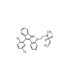 C=CS(=O)(=O)N(C)CCOc1cnccc1-c1[nH]c2cccnc2c1-c1cc(Cl)ccc1Cl